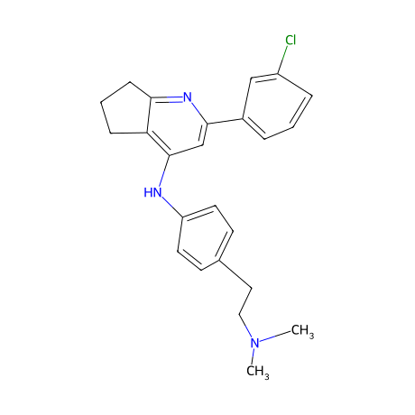 CN(C)CCc1ccc(Nc2cc(-c3cccc(Cl)c3)nc3c2CCC3)cc1